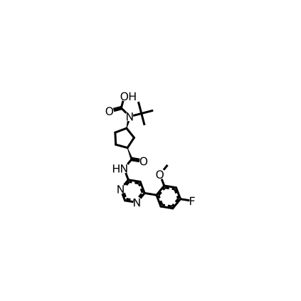 COc1cc(F)ccc1-c1cc(NC(=O)[C@H]2CC[C@@H](N(C(=O)O)C(C)(C)C)C2)ncn1